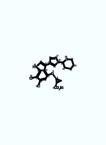 CCOC(=O)[C@@H]1C[C@@H]1Oc1cc(Cl)c(Cl)c2[nH]cc(-c3cnn(C4CCCCO4)c3)c12